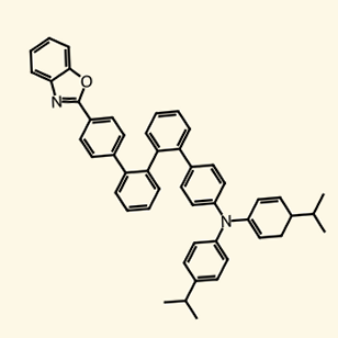 CC(C)c1ccc(N(C2=CCC(C(C)C)C=C2)c2ccc(-c3ccccc3-c3ccccc3-c3ccc(-c4nc5ccccc5o4)cc3)cc2)cc1